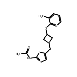 CC(=O)Nc1ncc(CN2CC(Oc3ncccc3C)C2)s1